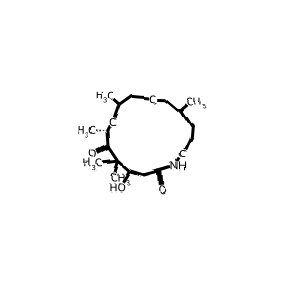 CC1CCCNC(=O)CC(O)C(C)(C)C(=O)[C@H](C)CC(C)CCC1